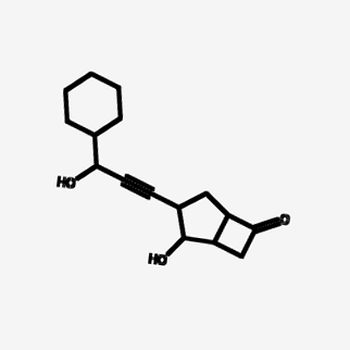 O=C1CC2C1CC(C#CC(O)C1CCCCC1)C2O